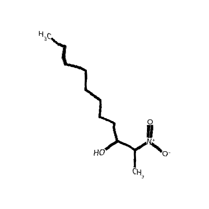 CCCCCCCCC(O)C(C)[N+](=O)[O-]